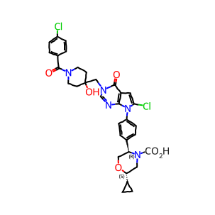 O=C(c1ccc(Cl)cc1)N1CCC(O)(Cn2cnc3c(cc(Cl)n3-c3ccc([C@@H]4CO[C@@H](C5CC5)CN4C(=O)O)cc3)c2=O)CC1